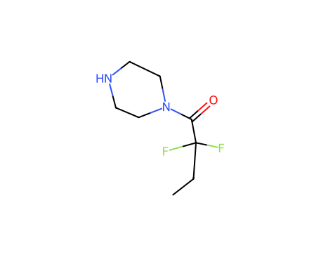 CCC(F)(F)C(=O)N1CCNCC1